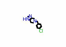 Clc1ccc(CN2CCc3[nH]cnc3C2)cc1